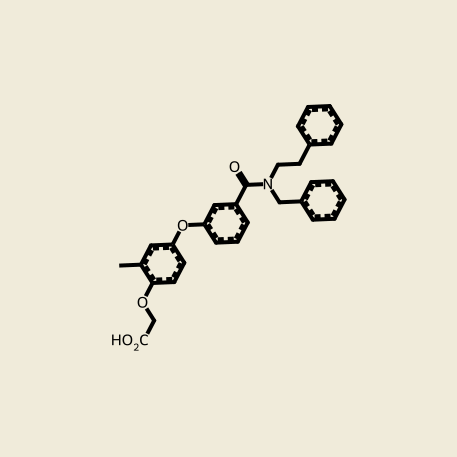 Cc1cc(Oc2cccc(C(=O)N(CCc3ccccc3)Cc3ccccc3)c2)ccc1OCC(=O)O